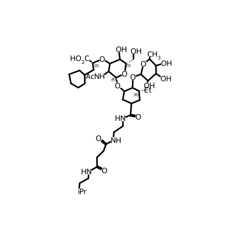 CC[C@@H]1CC(C(=O)NCCNC(=O)CCC(=O)NCCC(C)C)CC(O[C@@H]2O[C@@H](CO)C(O)C(O[C@@H](CC3CCCCC3)C(=O)O)C2NC(C)=O)C1OC1OC(C)C(O)C(O)C1O